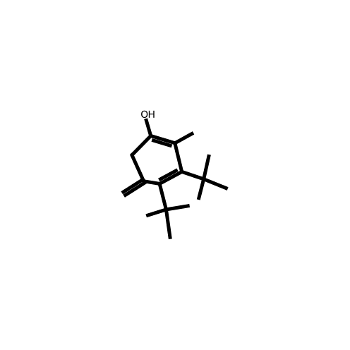 C=C1CC(O)=C(C)C(C(C)(C)C)=C1C(C)(C)C